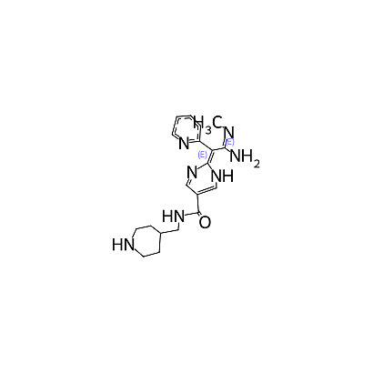 C/N=C(N)\C(=C1\N=CC(C(=O)NCC2CCNCC2)=CN1)c1ccccn1